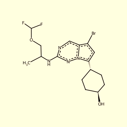 CC(COC(F)F)Nc1ncc2c(Br)cc([C@H]3CC[C@H](O)CC3)n2n1